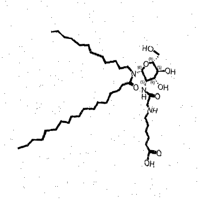 CCCCCCCCCCCCCCCCCC(=O)N(CCCCCCCCCCCC)[C@@H]1O[C@H](CO)[C@@H](O)[C@H](O)[C@@H]1NC(=O)CNCCCCCC(=O)O